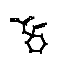 O=CC1(CC(=O)O)CCCCC1